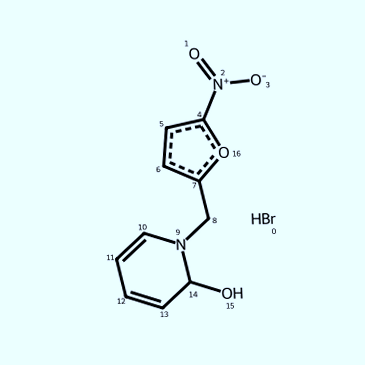 Br.O=[N+]([O-])c1ccc(CN2C=CC=CC2O)o1